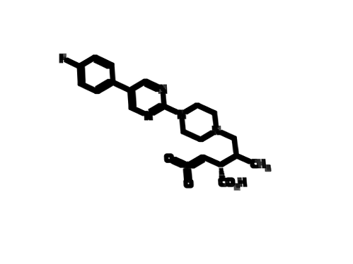 CC(CN1CCN(c2ncc(-c3ccc(F)cc3)cn2)CC1)[C@@H](C=S(=O)=O)C(=O)O